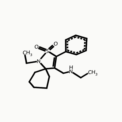 CCNCC1=C(c2ccccc2)S(=O)(=O)N(CC)C12CCCCC2